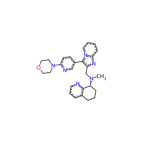 CN(Cc1nc2ccccn2c1-c1ccc(N2CCOCC2)nc1)[C@H]1CCCc2cccnc21